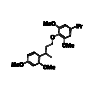 COc1ccc(C(C)CCOc2c(OC)cc(C(C)C)cc2OC)c(OC)c1